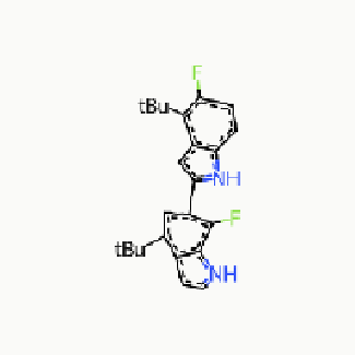 CC(C)(C)c1c(F)ccc2[nH]c(-c3cc(C(C)(C)C)c4cc[nH]c4c3F)cc12